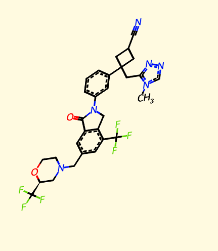 Cn1cnnc1CC1(c2cccc(N3Cc4c(cc(CN5CCO[C@H](C(F)(F)F)C5)cc4C(F)(F)F)C3=O)c2)CC(C#N)C1